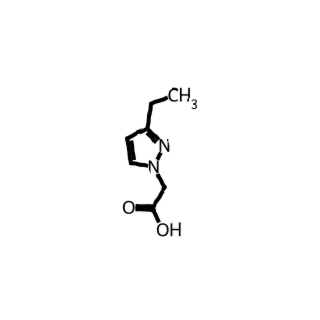 CCc1ccn(CC(=O)O)n1